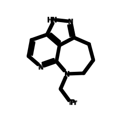 CC(C)CN1CCCc2n[nH]c3ccnc1c23